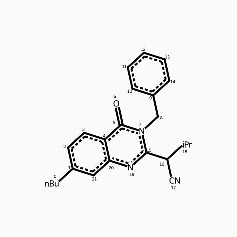 CCCCc1ccc2c(=O)n(Cc3ccccc3)c(C(C#N)C(C)C)nc2c1